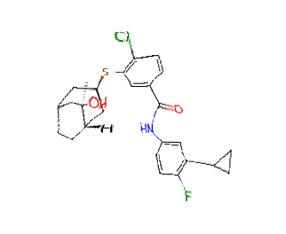 C[C@@]1(O)C2CC[C@H]1C[C@H](Sc1cc(C(=O)Nc3ccc(F)c(C4CC4)c3)ccc1Cl)C2